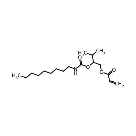 C=CC(=O)OCC(OC(=O)NCCCCCCCCC)C(C)C